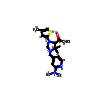 CCN(CC)c1cc(CN2CN(c3cc(C(F)(F)F)cs3)C(C(=O)C=O)C2(C)C)ccn1